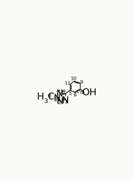 Cn1nnc(-c2[c]c(O)ccc2)n1